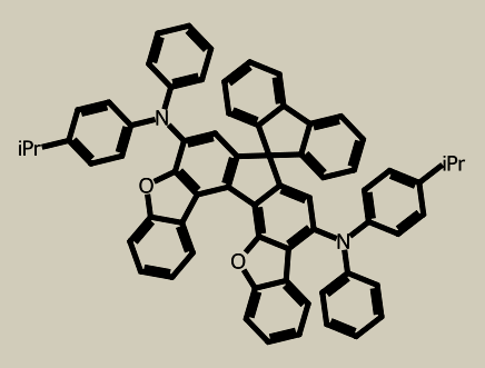 CC(C)c1ccc(N(c2ccccc2)c2cc3c(c4c2oc2ccccc24)-c2c(cc(N(c4ccccc4)c4ccc(C(C)C)cc4)c4c2oc2ccccc24)C32c3ccccc3-c3ccccc32)cc1